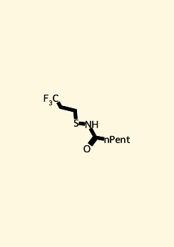 CCCCCC(=O)NSCCC(F)(F)F